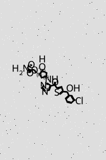 NS(=O)(=O)OC[C@H]1C[C@@H](Nc2ncncc2C(=O)c2cc(C(O)c3cccc(Cl)c3)cs2)C[C@@H]1O